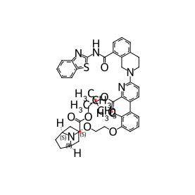 CCOC(=O)CN1[C@@H]2CC[C@H]1C[C@H](OCCOc1cccc(-c3ccc(N4CCc5cccc(C(=O)Nc6nc7ccccc7s6)c5C4)nc3C(=O)OC(C)(C)C)c1C)C2